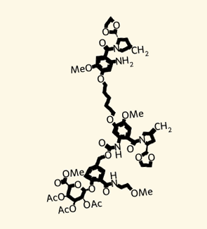 C=C1C[C@@H](C2OCCO2)N(C(=O)c2cc(OC)c(OCCCCCOc3cc(NC(=O)OCc4ccc(O[C@@H]5O[C@H](C(=O)OC)[C@@H](OC(C)=O)[C@H](OC(C)=O)[C@H]5OC(C)=O)c(C(=O)NCCOC)c4)c(C(=O)N4CC(=C)C[C@H]4C4OCCO4)cc3OC)cc2N)C1